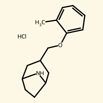 Cc1ccccc1OCC1CC2CCC(C1)N2.Cl